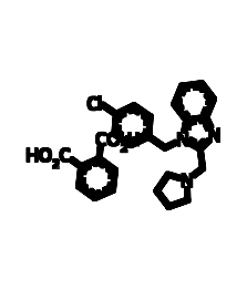 Clc1ccc(Cn2c(CN3CCCC3)nc3ccccc32)cc1.O=C(O)c1ccccc1C(=O)O